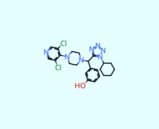 Oc1cccc(C(c2nnnn2C2CCCCC2)N2CCN(c3c(Cl)cncc3Cl)CC2)c1